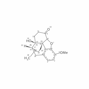 COc1ccc2c3c1OC1C(=O)CC[C@@]4(O)[C@@H](C2)N(C)CC[C@]314